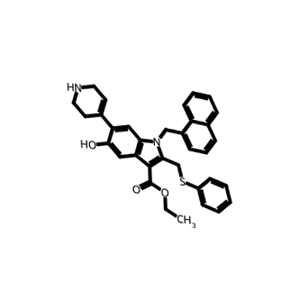 CCOC(=O)c1c(CSc2ccccc2)n(Cc2cccc3ccccc23)c2cc(C3=CCNCC3)c(O)cc12